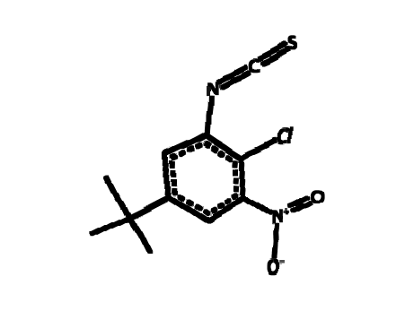 CC(C)(C)c1cc(N=C=S)c(Cl)c([N+](=O)[O-])c1